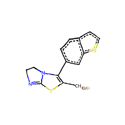 Br.CC1=C(c2ccc3ccsc3c2)N2CCN=C2S1